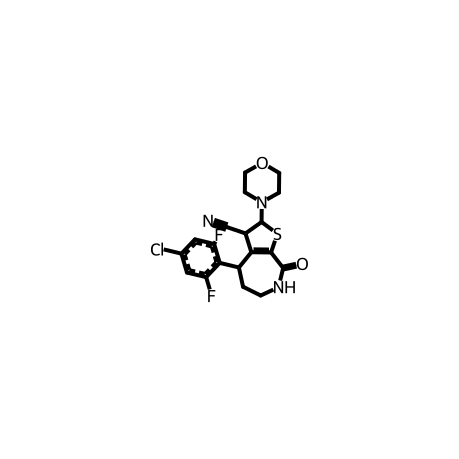 N#CC1C2=C(SC1N1CCOCC1)C(=O)NCCC2c1c(F)cc(Cl)cc1F